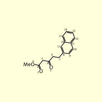 COC(=O)CC(=O)CCc1ccc2ccccc2c1